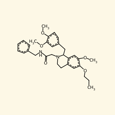 CCCOc1cc2c(cc1OC)C(Cc1ccc(OC)c(OC)c1)N(CC(=O)NCc1ccccc1)CC2